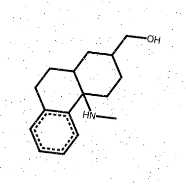 CNC12CCC(CO)CC1CCc1ccccc12